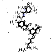 C=CC(/C(N)=C/N(N)c1cc(C(=O)Nc2cc(OCCCN(C)C)cc(C(F)(F)F)c2)ccc1C)=C(/C)N(C)N